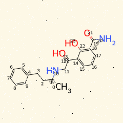 C[C@H](CCc1ccccc1)NC[C@H](O)c1cccc(C(N)=O)c1O